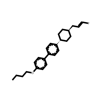 CCCCOc1ccc(-c2ccc([C@H]3CC[C@H](C/C=C/F)CC3)cc2)cc1